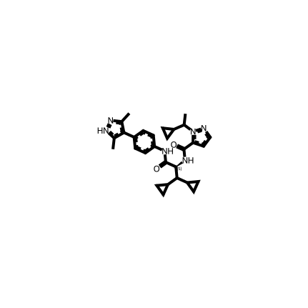 Cc1n[nH]c(C)c1-c1ccc(NC(=O)[C@@H](NC(=O)c2ccnn2C(C)C2CC2)C(C2CC2)C2CC2)cc1